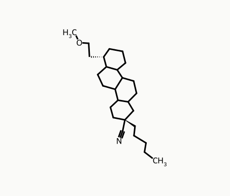 CCCCC[C@@]1(C#N)CCC2C(CCC3C2CCC2C3CCC[C@H]2CCOC)C1